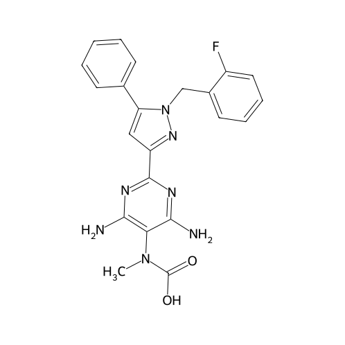 CN(C(=O)O)c1c(N)nc(-c2cc(-c3ccccc3)n(Cc3ccccc3F)n2)nc1N